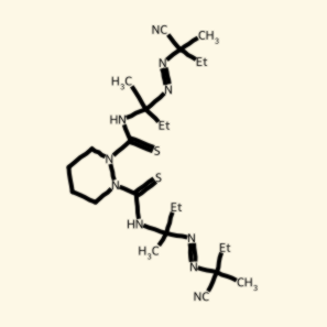 CCC(C)(C#N)/N=N/C(C)(CC)NC(=S)N1CCCCN1C(=S)NC(C)(CC)/N=N/C(C)(C#N)CC